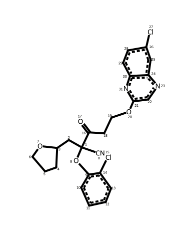 N#CC(CC1CCCO1)(Oc1ccccc1Cl)C(=O)CCOc1cnc2cc(Cl)ccc2n1